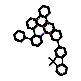 CC1(C)c2ccccc2-c2ccc(-c3cccc(N(c4ccc5ccccc5c4)c4cccc(-c5ccccc5)c4-c4ccccc4-c4ccccc4)c3)cc21